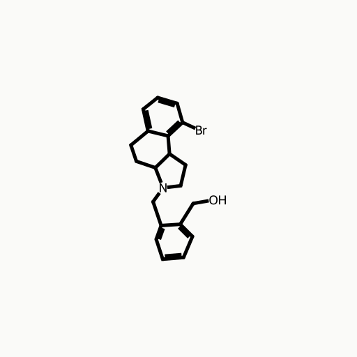 OCc1ccccc1CN1CCC2c3c(Br)cccc3CCC21